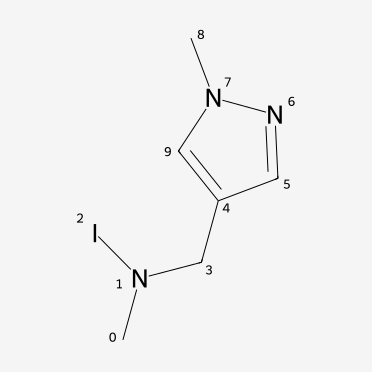 CN(I)Cc1cnn(C)c1